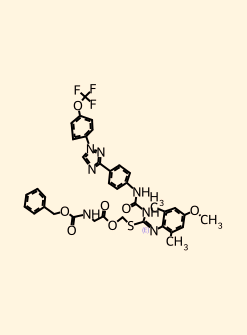 COc1cc(C)c(/N=C(\NC(=O)Nc2ccc(-c3ncn(-c4ccc(OC(F)(F)F)cc4)n3)cc2)SCOC(=O)CNC(=O)OCc2ccccc2)c(C)c1